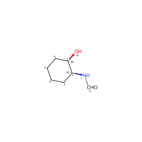 O=CN[C@H]1CCCC[C@H]1O